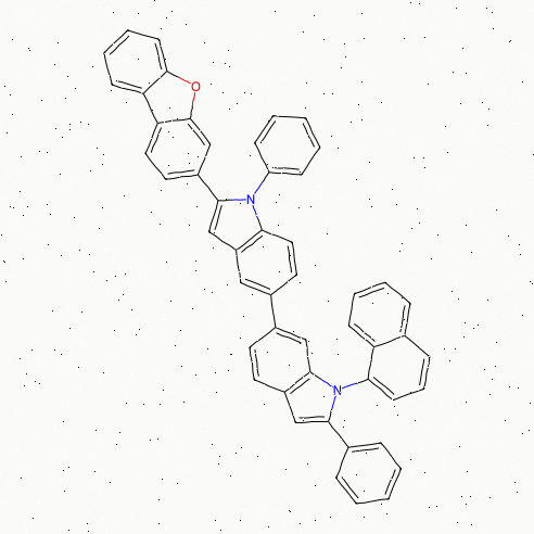 c1ccc(-c2cc3ccc(-c4ccc5c(c4)cc(-c4ccc6c(c4)oc4ccccc46)n5-c4ccccc4)cc3n2-c2cccc3ccccc23)cc1